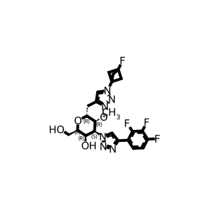 CO[C@@H]1[C@@H](n2cc(-c3ccc(F)c(F)c3F)nn2)[C@@H](O)[C@@H](CO)O[C@@H]1Cc1cn(C23CC(F)(C2)C3)nn1